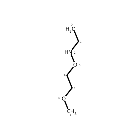 CCNOCCOC